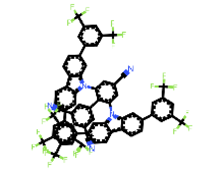 N#Cc1cc(C#N)cc(-c2c(-n3c4cc(-c5cc(C(F)(F)F)cc(C(F)(F)F)c5)ccc4c4ccc(-c5cc(C(F)(F)F)cc(C(F)(F)F)c5)cc43)cc(C#N)cc2-n2c3cc(-c4cc(C(F)(F)F)cc(C(F)(F)F)c4)ccc3c3ccc(-c4cc(C(F)(F)F)cc(C(F)(F)F)c4)cc32)c1